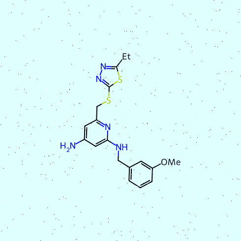 CCc1nnc(SCc2cc(N)cc(NCc3cccc(OC)c3)n2)s1